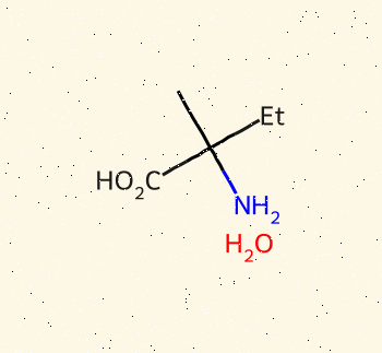 CCC(C)(N)C(=O)O.O